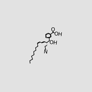 CCCCCCCCC/C=C\C=C\[C@@H](CCC#N)[C@H](O)c1cccc(C(=O)O)c1